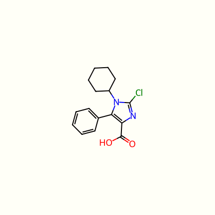 O=C(O)c1nc(Cl)n(C2CCCCC2)c1-c1ccccc1